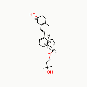 CC1=C(C=CC2=CCC[C@]3(C)[C@@H]([C@H](C)OCCC(C)(C)O)CC[C@@H]23)C[C@@H](O)CC1